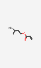 C=CC(=O)OCCC(C)CCCC